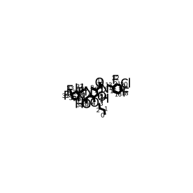 CCCCOc1c2n(cc(C(=O)NCc3ccc(F)c(Cl)c3F)c1=O)C[C@H]1C3C[C@H](CC3(F)F)N1C2=O